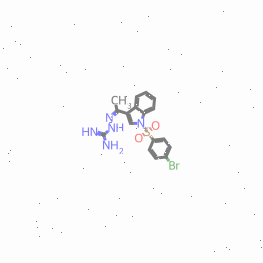 C/C(=N/NC(=N)N)c1cn(S(=O)(=O)c2ccc(Br)cc2)c2ccccc12